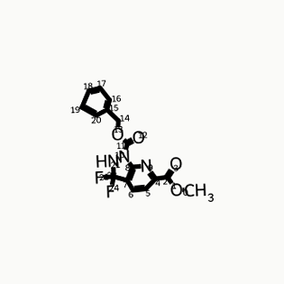 COC(=O)c1ccc2c(n1)N(C(=O)OCc1ccccc1)NC2(F)F